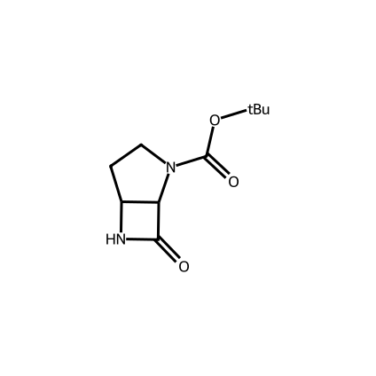 CC(C)(C)OC(=O)N1CCC2NC(=O)C21